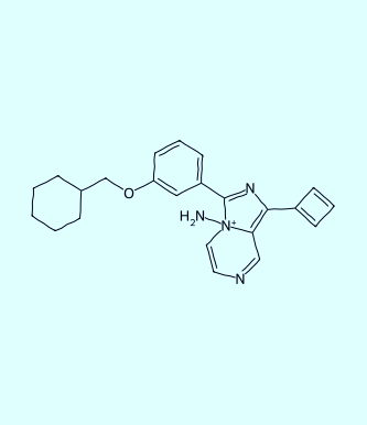 N[N+]12C=CN=CC1=C(C1=CC=C1)N=C2c1cccc(OCC2CCCCC2)c1